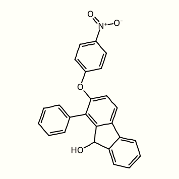 O=[N+]([O-])c1ccc(Oc2ccc3c(c2-c2ccccc2)C(O)c2ccccc2-3)cc1